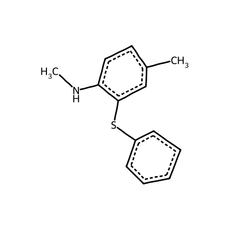 CNc1ccc(C)cc1Sc1ccccc1